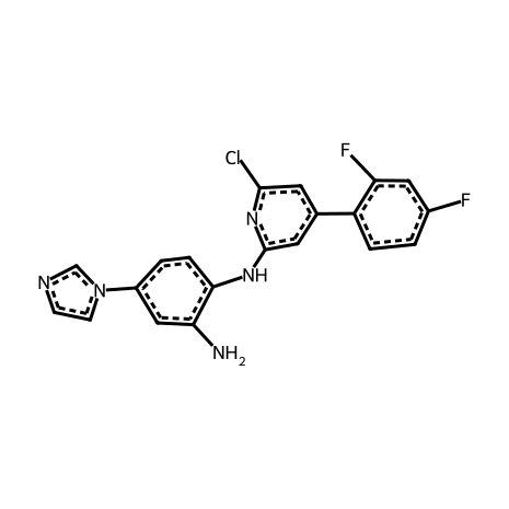 Nc1cc(-n2ccnc2)ccc1Nc1cc(-c2ccc(F)cc2F)cc(Cl)n1